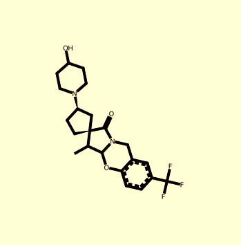 CC1C2Oc3ccc(C(F)(F)F)cc3CN2C(=O)[C@]12CC[C@@H](N1CCC(O)CC1)C2